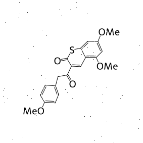 COc1ccc(CC(=O)c2cc3c(OC)cc(OC)cc3sc2=O)cc1